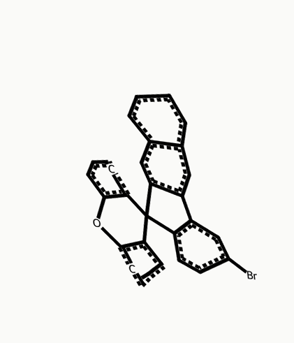 Brc1ccc2c(c1)-c1cc3ccccc3cc1C21c2ccccc2Oc2ccccc21